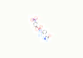 Cn1ncc(Br)c1-c1cccc(NC(=O)Oc2ccc([N+](=O)[O-])cc2)c1